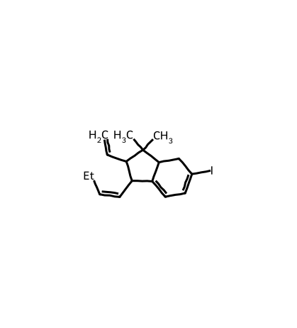 C=CC1C(/C=C\CC)C2=CC=C(I)CC2C1(C)C